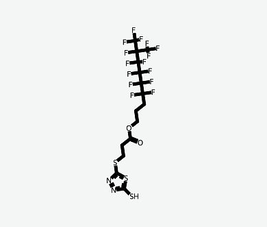 O=C(CCSc1nnc(S)s1)OCCCC(F)(F)C(F)(F)C(F)(F)C(F)(F)C(F)(C(F)(F)F)C(F)(F)F